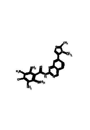 Bc1c(B)c(C(=O)Nc2ncc3ccc(-c4cnc(C)n4C)cc3n2)c(B)c(B)c1Cl